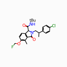 Cc1c(OCF)ccc2c1C(=O)N(CC(C)c1ccc(Cl)cc1)C2C(=O)NC(C)(C)C